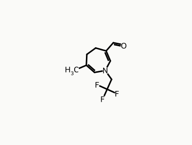 CC1=CN(CC(F)(F)F)C=C(C=O)CC1